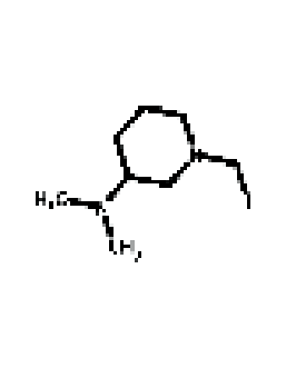 CN(C)C1CCCN(CI)C1